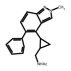 CC(=O)NCC1CC1c1c(-c2ccccc2)ccc2nn(C)cc12